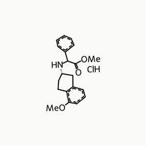 COC(=O)C(N[C@H]1CCc2c(cccc2OC)C1)c1ccccc1.Cl